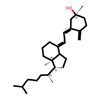 C=C1CC[C@](C)(O)C/C1=C/C=C1CCC[C@@]2(C)C1CC[C@@H]2[C@H](C)CCCC(C)C